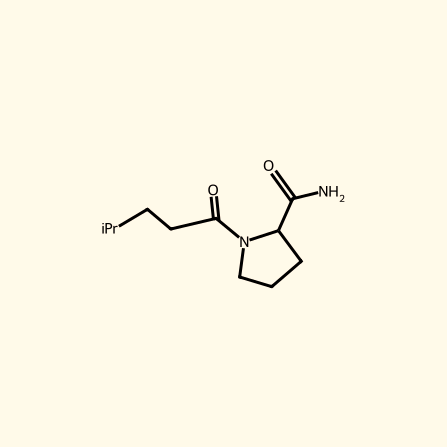 CC(C)CCC(=O)N1CCCC1C(N)=O